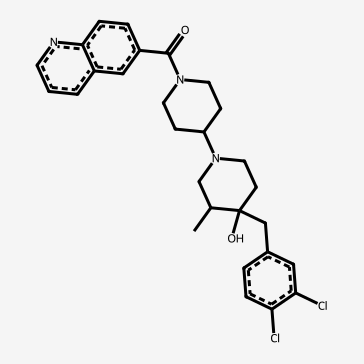 CC1CN(C2CCN(C(=O)c3ccc4ncccc4c3)CC2)CCC1(O)Cc1ccc(Cl)c(Cl)c1